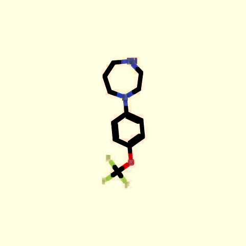 FC(F)(F)Oc1ccc(N2CCCNCC2)cc1